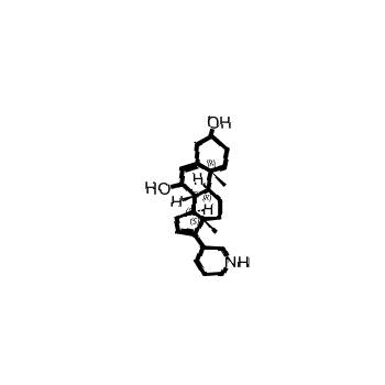 C[C@]12CCC(O)CC1=CC(O)[C@@H]1[C@H]2CC[C@]2(C)C(C3CCCNC3)=CC[C@@H]12